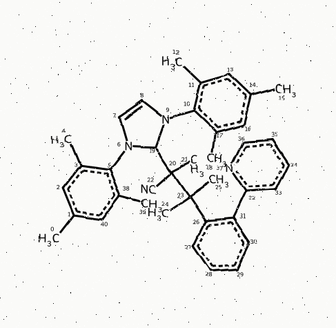 Cc1cc(C)c(N2C=CN(c3c(C)cc(C)cc3C)C2C(C)(C#N)C(C)(C)c2ccccc2-c2ccccn2)c(C)c1